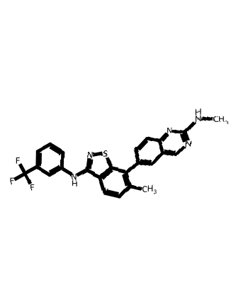 CNc1ncc2cc(-c3c(C)ccc4c(Nc5cccc(C(F)(F)F)c5)nsc34)ccc2n1